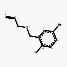 C=CCOCc1cc(Br)ccc1C